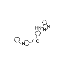 O=C(C=CC1CCN(Cc2ccccc2)CC1)c1ccc(Nc2ncnc3c2CCC3)cc1